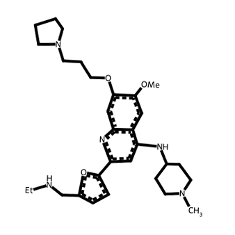 CCNCc1ccc(-c2cc(NC3CCN(C)CC3)c3cc(OC)c(OCCCN4CCCC4)cc3n2)o1